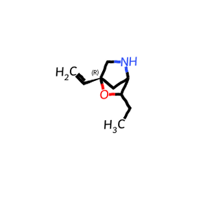 C=C[C@@]12CNC(C1)C(CC)O2